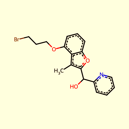 Cc1c(C(O)c2ccccn2)oc2cccc(OCCCBr)c12